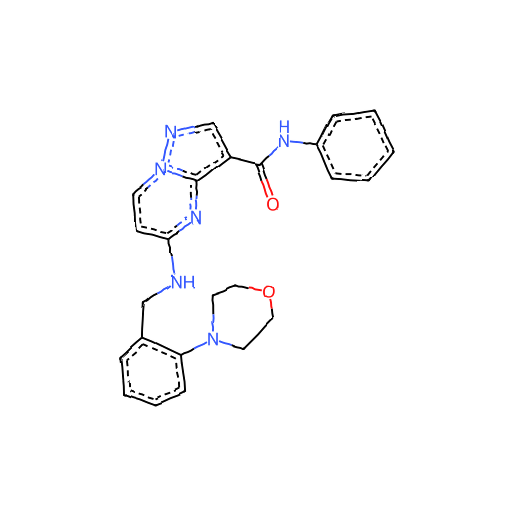 O=C(Nc1ccccc1)c1cnn2ccc(NCc3ccccc3N3CCOCC3)nc12